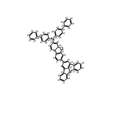 C1=CC2c3ccc(-c4cc5c6ccccc6n6c7ccccc7c(c4)c56)cc3OC2C=C1N(c1ccc(-c2ccccc2)cc1)c1ccc(-c2ccccc2)cc1